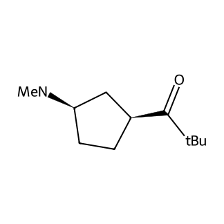 CN[C@@H]1CC[C@H](C(=O)C(C)(C)C)C1